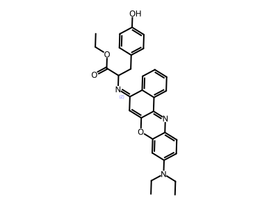 CCOC(=O)C(Cc1ccc(O)cc1)/N=c1/cc2oc3cc(N(CC)CC)ccc3nc-2c2ccccc12